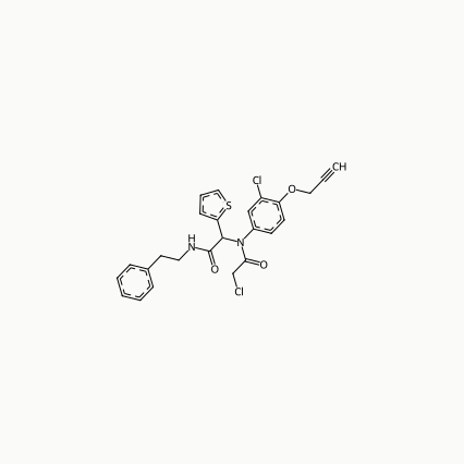 C#CCOc1ccc(N(C(=O)CCl)C(C(=O)NCCc2ccccc2)c2cccs2)cc1Cl